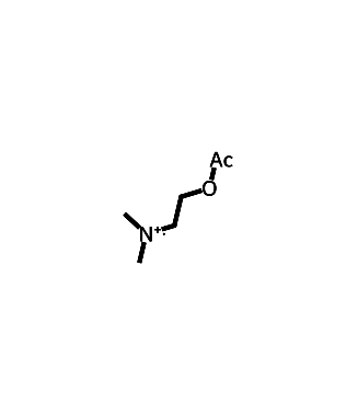 CC(=O)OCC[N+](C)C